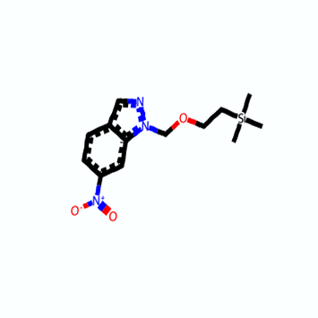 C[Si](C)(C)CCOCn1ncc2ccc([N+](=O)[O-])cc21